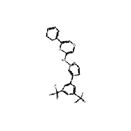 FC(F)(F)c1cc(-c2ccnc(NC3=COC=C(C4=CC=CCC4)O3)c2)cc(C(F)(F)F)c1